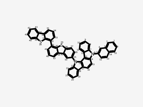 c1ccc2cc(-n3c4ccccc4c4c3ccc3c5ccccc5n(-c5ccc6sc7c(-c8cccc9c8sc8ccccc89)cccc7c6c5)c34)ccc2c1